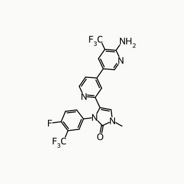 Cn1cc(-c2cc(-c3cnc(N)c(C(F)(F)F)c3)ccn2)n(-c2ccc(F)c(C(F)(F)F)c2)c1=O